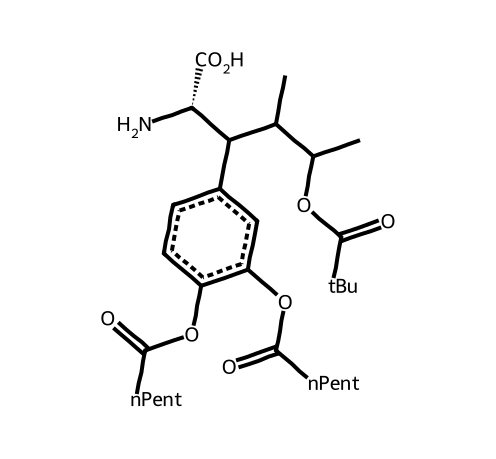 CCCCCC(=O)Oc1ccc(C(C(C)C(C)OC(=O)C(C)(C)C)[C@H](N)C(=O)O)cc1OC(=O)CCCCC